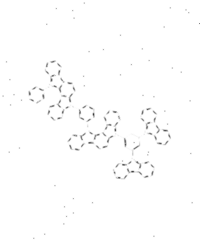 C1=C(n2c3ccccc3c3ccccc32)C=C(n2c3ccccc3c3c2ccc2c4ccccc4n(-c4cccc(-n5c6ccccc6c6c5ccc5c7ccccc7n(-c7ccccc7)c56)c4)c23)CC1n1c2ccccc2c2ccccc21